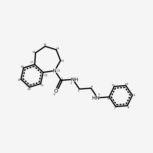 O=C(NCCNc1ccccc1)N1CCCCc2ccccc21